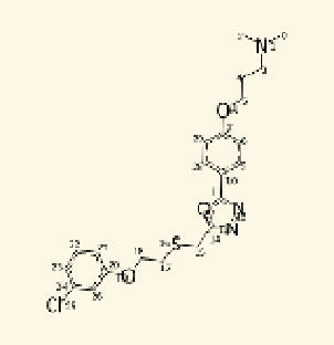 CN(C)CCCOc1ccc(-c2nnc(CSCCOc3cccc(Cl)c3)o2)cc1